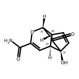 NC(=O)C1=C[C@H]2[C@H]3C=C[C@@]2(O)C(=O)O[C@@H]3O1